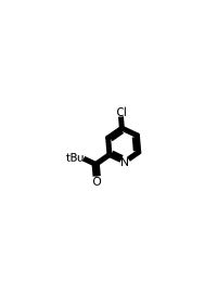 CC(C)(C)C(=O)c1cc(Cl)ccn1